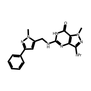 CCCc1nn(C)c2c(=O)[nH]c(NCc3cc(-c4ccccc4)nn3C)nc12